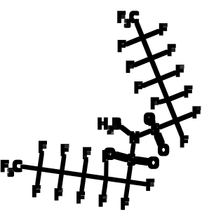 BN(S(=O)(=O)C(F)(F)C(F)(F)C(F)(F)C(F)(F)C(F)(F)C(F)(F)F)S(=O)(=O)C(F)(F)C(F)(F)C(F)(F)C(F)(F)C(F)(F)C(F)(F)F